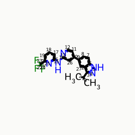 CC(C)c1n[nH]c2ccc(-c3ccnc(Nc4cccc(C(F)(F)F)n4)c3)cc12